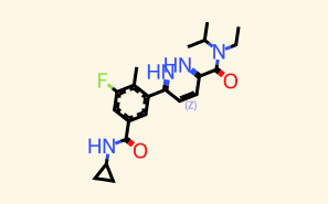 CCN(C(=O)C(=N)/C=C\C(=N)c1cc(C(=O)NC2CC2)cc(F)c1C)C(C)C